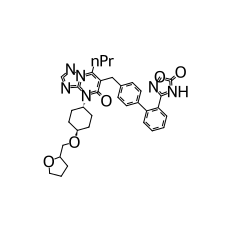 CCCc1c(Cc2ccc(-c3ccccc3-c3noc(=O)[nH]3)cc2)c(=O)n([C@H]2CC[C@H](OCC3CCCO3)CC2)c2ncnn12